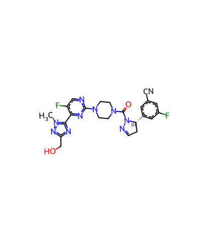 Cn1nc(CO)nc1-c1nc(N2CCN(C(=O)N3N=CC[C@H]3c3cc(F)cc(C#N)c3)CC2)ncc1F